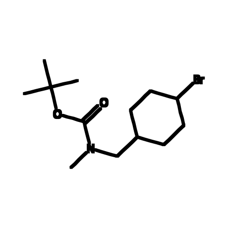 CN(CC1CCC(Br)CC1)C(=O)OC(C)(C)C